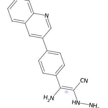 N#C/C(NN)=C(/N)c1ccc(-c2cnc3ccccc3c2)cc1